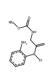 C=C(CNC(=O)OC(C)(C)C)N(CC)c1ccccc1N